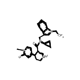 Cn1ccc(C2CCNCC2C(=O)N(Cc2cn(CC(F)(F)F)c3ccccc23)C2CC2)cc1=O